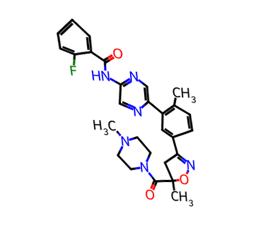 Cc1ccc(C2=NOC(C)(C(=O)N3CCN(C)CC3)C2)cc1-c1cnc(NC(=O)c2ccccc2F)cn1